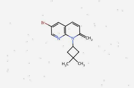 C=C1C=Cc2cc(Br)cnc2N1C1CC(C)(C)C1